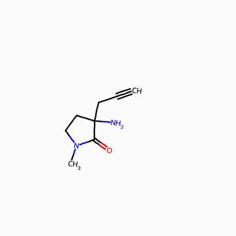 C#CCC1(N)CCN(C)C1=O